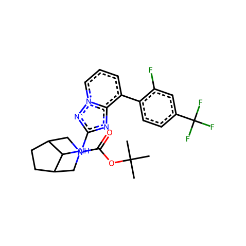 CC(C)(C)OC(=O)N1CC2CCC(C1)C2Nc1nc2c(-c3ccc(C(F)(F)F)cc3F)cccn2n1